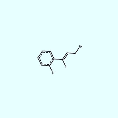 Fc1ccccc1/C(I)=C/CBr